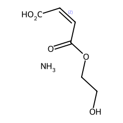 N.O=C(O)/C=C\C(=O)OCCO